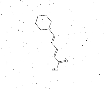 CC(C)(C)C(=O)/C=C/C=C/C1CCCCC1